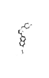 COCCOc1ccc2cc(-c3ccn(CC4CCN(C)CC4)n3)ccc2c1